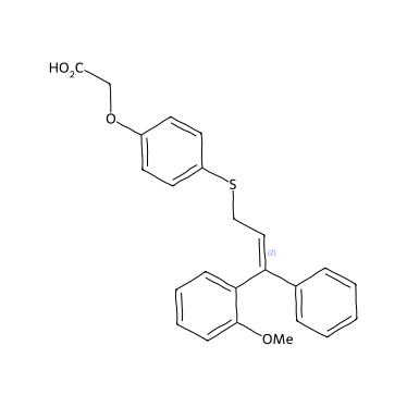 COc1ccccc1/C(=C\CSc1ccc(OCC(=O)O)cc1)c1ccccc1